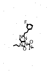 CCCn1c(=O)n(C(=O)N(C)C)c2nc(CCc3cccc(F)c3)ncc21